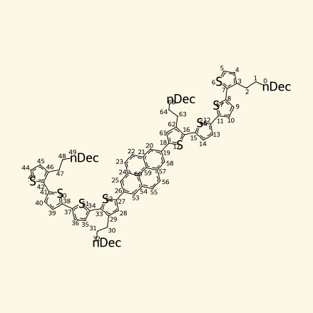 CCCCCCCCCCCCc1ccsc1-c1ccc(-c2ccc(-c3sc(-c4cc5ccc6cc(-c7cc(CCCCCCCCCCCC)c(-c8ccc(-c9ccc(-c%10sccc%10CCCCCCCCCCCC)s9)s8)s7)cc7ccc(c4)c5c67)cc3CCCCCCCCCCCC)s2)s1